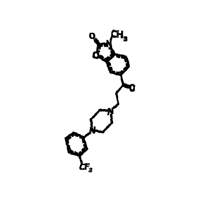 Cn1c(=O)oc2cc(C(=O)CCN3CCN(c4cccc(C(F)(F)F)c4)CC3)ccc21